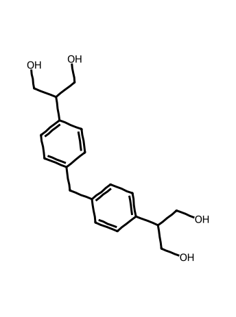 OCC(CO)c1ccc(Cc2ccc(C(CO)CO)cc2)cc1